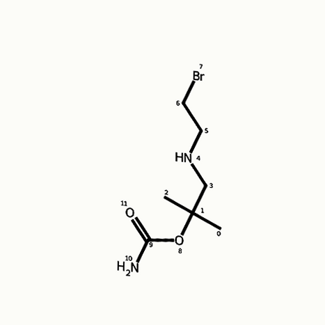 CC(C)(CNCCBr)OC(N)=O